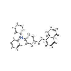 c1ccc(N(c2ccccc2)c2ccc(CCc3cccc4ccccc34)cc2)cc1